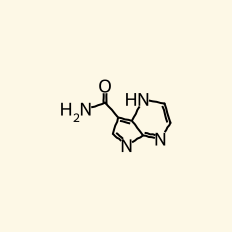 NC(=O)c1cnc2ncc[nH]c1-2